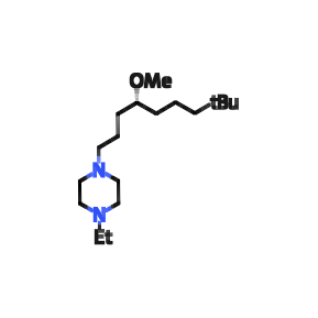 CCN1CCN(CCC[C@@H](CCCC(C)(C)C)OC)CC1